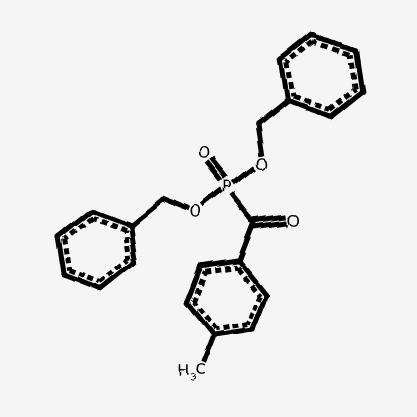 Cc1ccc(C(=O)P(=O)(OCc2ccccc2)OCc2ccccc2)cc1